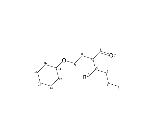 CCCC(Br)C([C]=O)CCOC1CC[CH]CC1